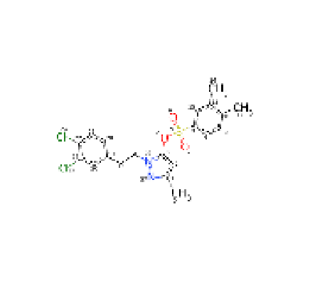 Cc1cc(OS(=O)(=O)c2ccc(C)c(C)c2)n(CCc2ccc(Cl)c(Cl)c2)n1